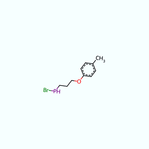 Cc1ccc(OCCCPBr)cc1